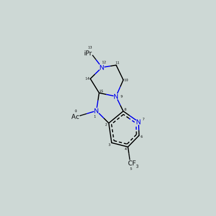 CC(=O)N1c2cc(C(F)(F)F)cnc2N2CCN(C(C)C)CC21